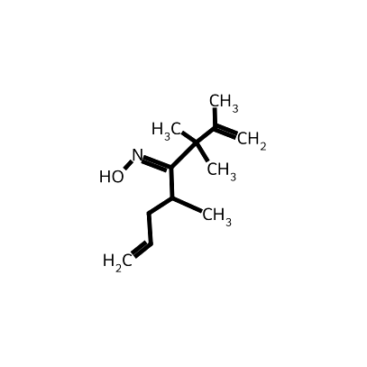 C=CCC(C)/C(=N\O)C(C)(C)C(=C)C